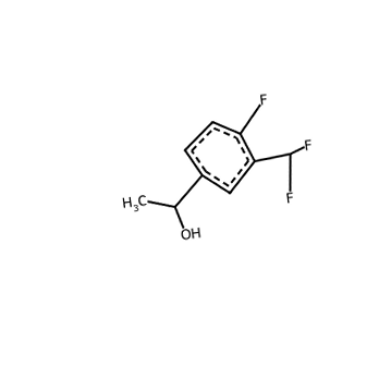 CC(O)c1ccc(F)c(C(F)F)c1